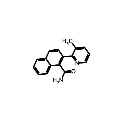 Cc1cccnc1-c1ccc2ccccc2c1C(N)=O